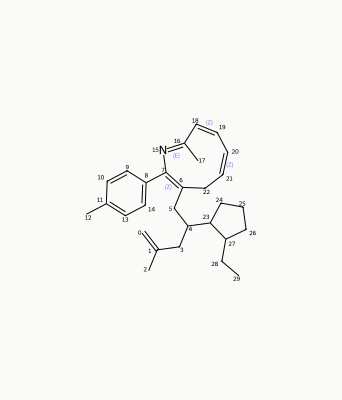 C=C(C)CC(C/C1=C(c2ccc(C)cc2)/N=C(C)/C=C\C=C/C1)C1CCCC1CC